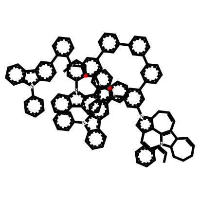 C/C=C\C=C/c1cn(-c2cc(-c3cccc(-c4cccc(-c5cccc(-c6cc(N(C)c7ccccc7-c7ccc8c(c7)c7ccccc7n8-c7ccccc7)cc(-n7c8ccccc8c8ccc9c%10ccccc%10n(-c%10ccccc%10)c9c87)c6)c5)c4)c3)cc(-n3c4ccccc4c4cc5c(cc43)c3ccccc3n5-c3ccccc3)c2)c2c1C1=C(C=CC2)C2C=CCCCC2N1c1ccccc1